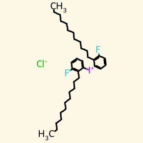 CCCCCCCCCCCCc1c(F)cccc1[I+]c1cccc(F)c1CCCCCCCCCCCC.[Cl-]